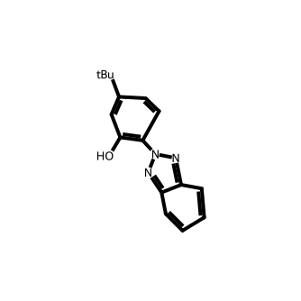 CC(C)(C)c1ccc(-n2nc3ccccc3n2)c(O)c1